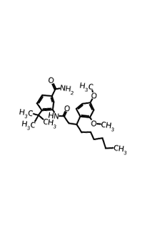 CCCCCCC(CC(=O)Nc1cc(C(N)=O)ccc1C(C)(C)C)c1ccc(OC)cc1OC